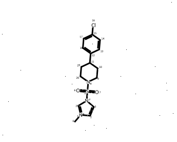 C[n+]1ccn(S(=O)(=O)N2CCC(c3ccc(Cl)cc3)CC2)c1